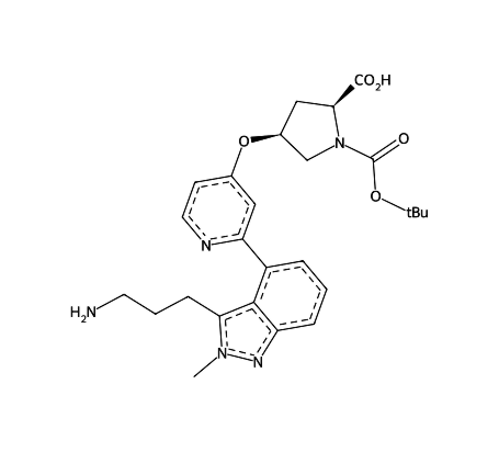 Cn1nc2cccc(-c3cc(O[C@H]4C[C@@H](C(=O)O)N(C(=O)OC(C)(C)C)C4)ccn3)c2c1CCCN